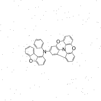 c1ccc(N(c2cc3c4c(c2)c2cccc5c2n4-c2c(cccc2O3)O5)c2cccc3oc4ccccc4c23)cc1